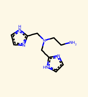 NCCN(Cc1ncc[nH]1)Cc1ncc[nH]1